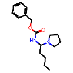 CCCCC(NC(=O)OCc1ccccc1)N1CCCC1